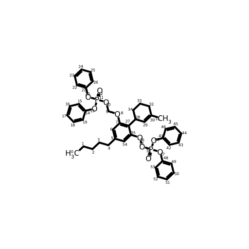 CCCCCc1cc(OCOP(=O)(Oc2ccccc2)Oc2ccccc2)c(C2C=C(C)CCC2)c(OOP(=O)(Oc2ccccc2)Oc2ccccc2)c1